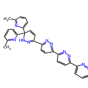 Cc1cccc(C2(c3cccc(C)n3)C=CC(c3ccc(-c4ccc(-c5cccnn5)nn4)nn3)=NN2)n1